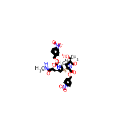 CNC(=O)CC[C@@H]1C[C@H](SC2=C(C(=O)OCc3ccc([N+](=O)[O-])cc3)N3C(=O)[C@H](C(C)O)[C@H]3[C@H]2C)CN1C(=O)OCc1ccc([N+](=O)[O-])cc1